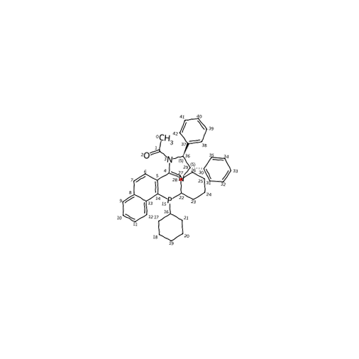 CC(=O)N1C(c2ccc3ccccc3c2P(C2CCCCC2)C2CCCCC2)=N[C@@H](c2ccccc2)[C@@H]1c1ccccc1